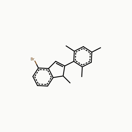 Cc1cc(C)c(C2=Cc3c(Br)cccc3C2C)c(C)c1